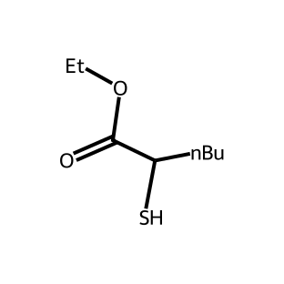 CCCCC(S)C(=O)OCC